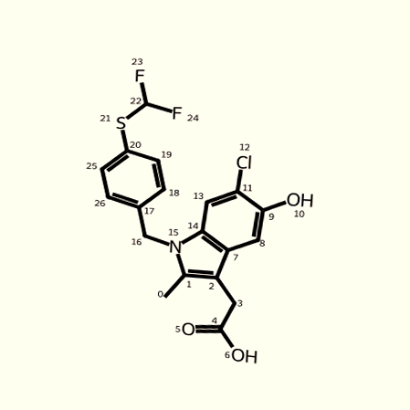 Cc1c(CC(=O)O)c2cc(O)c(Cl)cc2n1Cc1ccc(SC(F)F)cc1